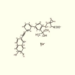 CC(C)(O)c1cc(-c2cccc(C#Cc3ccc4cc(F)c(F)cc4n3)c2)ccc1SCC1(CC(=O)[O-])CC1.[Na+]